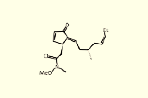 CC/C=C\C[C@H](C)C/C=C1/C(=O)C=C[C@@H]1CC(=O)N(C)OC